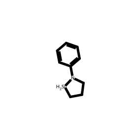 c1ccc(N2CCC[SiH2]2)cc1